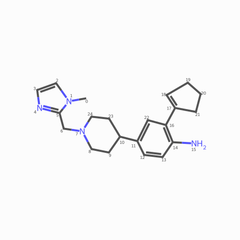 Cn1ccnc1CN1CCC(c2ccc(N)c(C3=CCCC3)c2)CC1